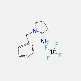 F[B-](F)(F)F.N=C1CCCN1Cc1ccccc1